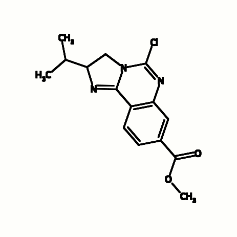 COC(=O)c1ccc2c(c1)N=C(Cl)N1CC(C(C)C)N=C21